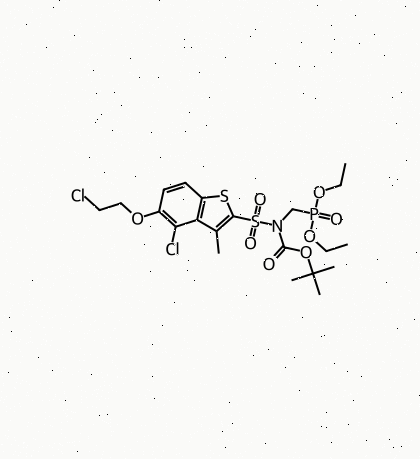 CCOP(=O)(CN(C(=O)OC(C)(C)C)S(=O)(=O)c1sc2ccc(OCCCl)c(Cl)c2c1C)OCC